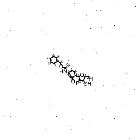 [2H]CC1OC(n2ccc(NC(=O)OCc3ccccc3)nc2=O)C(F)C1O